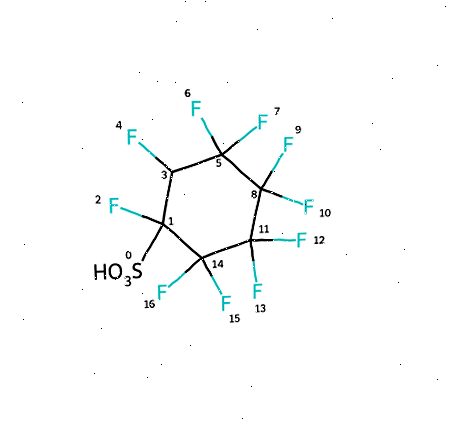 O=S(=O)(O)C1(F)C(F)C(F)(F)C(F)(F)C(F)(F)C1(F)F